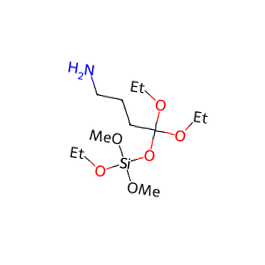 CCOC(CCCN)(OCC)O[Si](OC)(OC)OCC